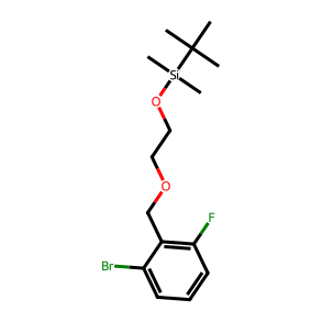 CC(C)(C)[Si](C)(C)OCCOCc1c(F)cccc1Br